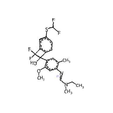 CCN(C)/C=N/c1cc(OC)c(C2(O)c3ccc(SC(F)F)cc3C2(F)F)cc1C